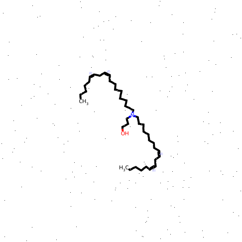 CCCCC/C=C\C/C=C\CCCCCCCCN(CCCO)CCCCCCCC/C=C\C/C=C\CCCCC